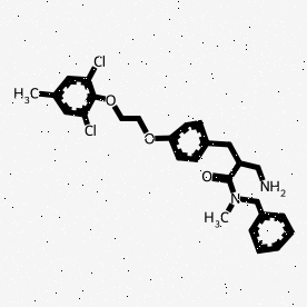 Cc1cc(Cl)c(OCCOc2ccc(CC(CN)C(=O)N(C)Cc3ccccc3)cc2)c(Cl)c1